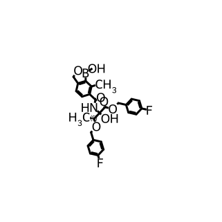 Cc1c(C(=O)NC(O)(C(=O)OCc2ccc(F)cc2)[C@H](C)OCc2ccc(F)cc2)ccc2c1B(O)OC2